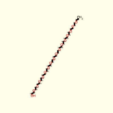 C=CCOCCOCCOCCOCCOCCOCCOCCOCCOCCOCCOCCOCCOCCOCCOCCOCCO